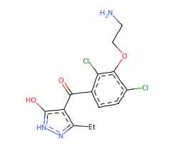 CCc1n[nH]c(O)c1C(=O)c1ccc(Cl)c(OCCN)c1Cl